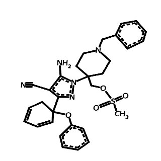 CS(=O)(=O)OCC1(n2nc(C3(Oc4ccccc4)C=CC=CC3)c(C#N)c2N)CCN(Cc2ccccc2)CC1